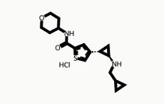 Cl.O=C(NC1CCOCC1)c1cc([C@@H]2C[C@H]2NCC2CC2)cs1